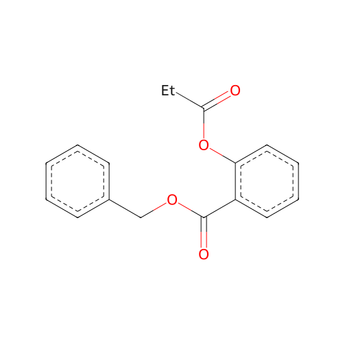 CCC(=O)Oc1ccccc1C(=O)OCc1ccccc1